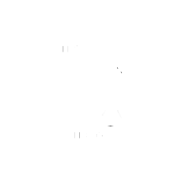 CCCC1CCCN(CCCc2ccc(OC)cc2)C1